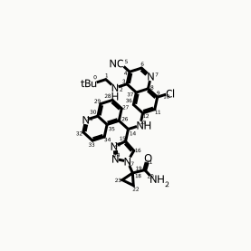 CC(C)(C)CNc1c(C#N)cnc2c(Cl)cc(NC(c3cn(C4(C(N)=O)CC4)nn3)c3cccc4ncccc34)cc12